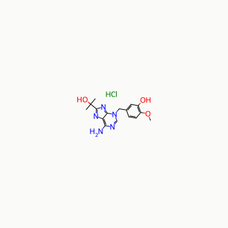 COc1ccc(Cn2cnc(N)c3nc(C(C)(C)O)nc2-3)cc1O.Cl